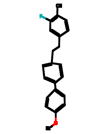 CCOc1ccc(-c2ccc(CCc3ccc(C#N)c(F)c3)cc2)cc1